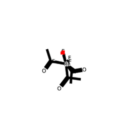 C[C](=O)[Re]([F])([F])([F])([F])([F])([F])([C](C)=O)[C](C)=O